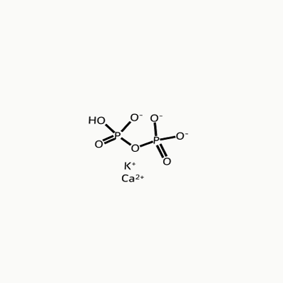 O=P([O-])([O-])OP(=O)([O-])O.[Ca+2].[K+]